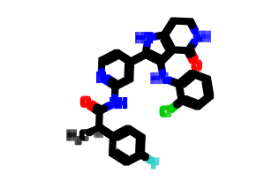 C[C@@H](C(=O)Nc1cc(-c2[nH]c3c(c2Nc2ccccc2Cl)C(=O)NCC3)ccn1)c1ccc(F)cc1